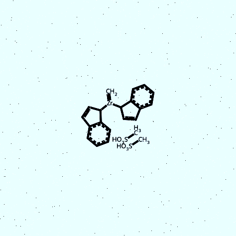 CS(=O)(=O)O.CS(=O)(=O)O.[CH2]=[Zr]([CH]1C=Cc2ccccc21)[CH]1C=Cc2ccccc21